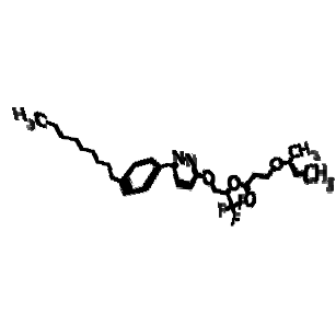 CCCCCCCCCc1ccc(-c2ccc(OCC(OC(=O)CCOC(C)CC)C(F)(F)F)nn2)cc1